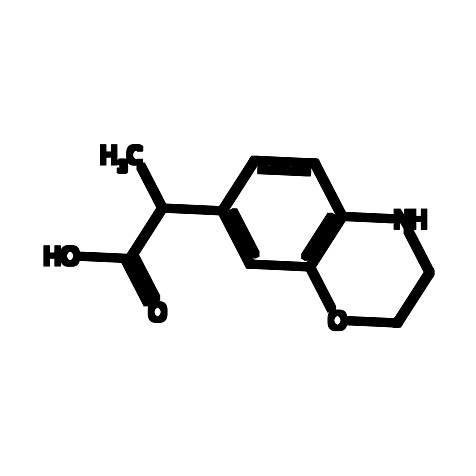 CC(C(=O)O)c1ccc2c(c1)OCCN2